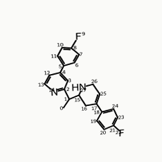 CC(c1cc(-c2ccc(F)cc2)ccn1)C1CC(c2ccc(F)cc2)=CCN1